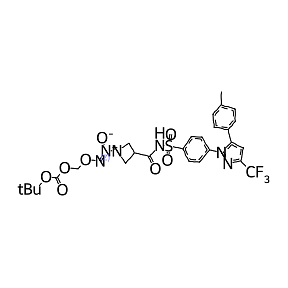 Cc1ccc(-c2cc(C(F)(F)F)nn2-c2ccc(S(=O)(=O)NC(=O)C3CN(/[N+]([O-])=N/OCOC(=O)OC(C)(C)C)C3)cc2)cc1